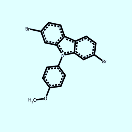 COc1ccc(-n2c3cc(Br)ccc3c3ccc(Br)cc32)cc1